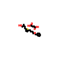 CC(CO)CCc1ccc(CCCCOCc2ccccc2)s1.O=C(O)C=CC(=O)O